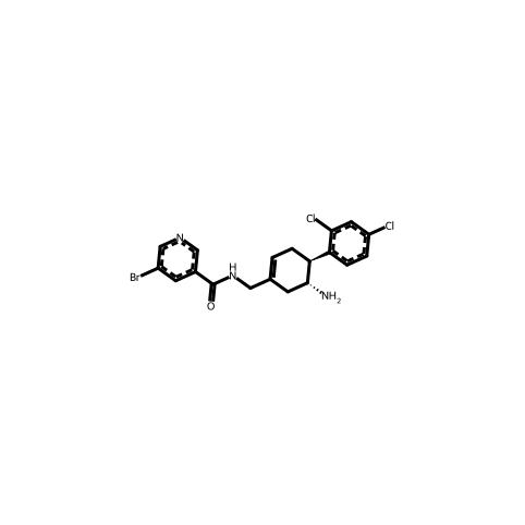 N[C@@H]1CC(CNC(=O)c2cncc(Br)c2)=CC[C@H]1c1ccc(Cl)cc1Cl